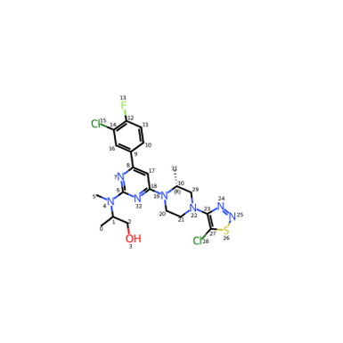 CC(CO)N(C)c1nc(-c2ccc(F)c(Cl)c2)cc(N2CCN(c3nnsc3Cl)C[C@H]2C)n1